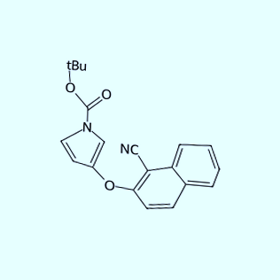 CC(C)(C)OC(=O)n1ccc(Oc2ccc3ccccc3c2C#N)c1